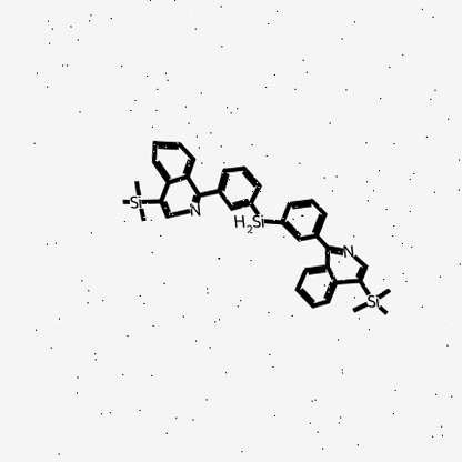 C[Si](C)(C)c1cnc(-c2cccc([SiH2]c3cccc(-c4ncc([Si](C)(C)C)c5ccccc45)c3)c2)c2ccccc12